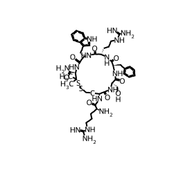 CC1(C)SSCC[C@H](NC(=O)[C@@H](N)CCCNC(=N)N)C(=O)N[C@@H](CO)C(=O)N[C@H](Cc2ccccc2)C(=O)N[C@@H](CCCNC(=N)N)C(=O)N[C@@H](Cc2c[nH]c3ccccc23)C(=O)N[C@@H]1C(N)=O